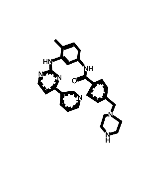 CC1=CCC(NC(=O)c2ccc(CN3CCNCC3)cc2)C=C1Nc1nccc(-c2cccnc2)n1